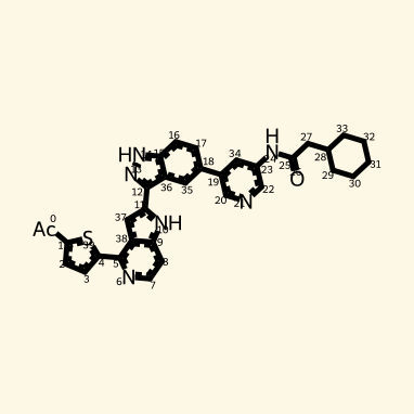 CC(=O)c1ccc(-c2nccc3[nH]c(-c4n[nH]c5ccc(-c6cncc(NC(=O)CC7CCCCC7)c6)cc45)cc23)s1